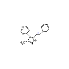 Cc1n[nH]c(/C=C/c2ccccc2)c1-c1ccncc1